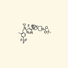 Cc1cc(C(F)(F)F)ccc1CN(c1ncnc(NCC2(N)CCN(C(=O)OC(C)(C)C)CC2)c1F)C1CC1